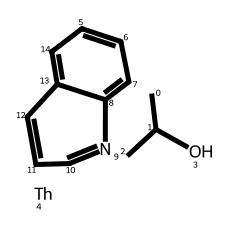 CC(C)O.[Th].c1ccc2ncccc2c1